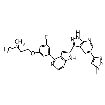 CN(C)CCOc1cc(F)cc(-c2nccc3[nH]c(-c4n[nH]c5ncc(-c6cn[nH]c6)cc45)cc23)c1